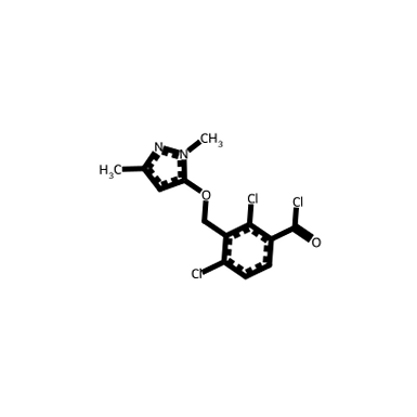 Cc1cc(OCc2c(Cl)ccc(C(=O)Cl)c2Cl)n(C)n1